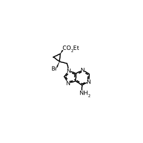 CCOC(=O)[C@@H]1C[C@@]1(Br)Cn1cnc2c(N)ncnc21